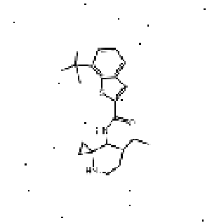 CCC1CCNC2(CC2)C1NC(=O)c1cc2cccc(C(C)(C)C)c2s1